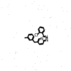 Cc1cccc(Cc2ccc3nnc(-c4ccccc4Cl)n3c2)c1